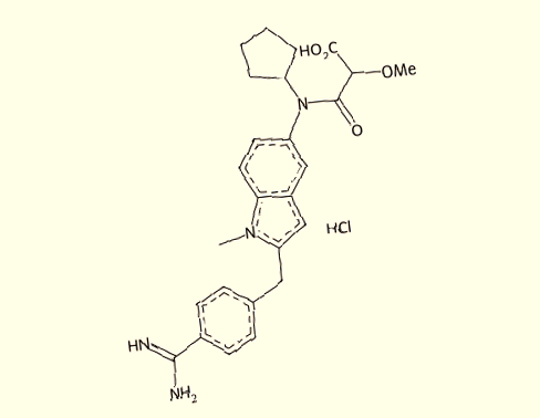 COC(C(=O)O)C(=O)N(c1ccc2c(c1)cc(Cc1ccc(C(=N)N)cc1)n2C)C1CCCC1.Cl